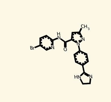 Cc1cc(C(=O)Nc2ccc(Br)cn2)n(-c2ccc(C3=NCCN3)cc2)n1